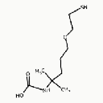 CC(C)(CCCOCCS)NC(=O)O